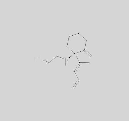 C=C/C=C(\C)[C@]1(NCCO)CCCCC1=C